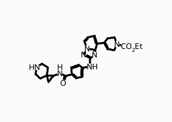 CCOC(=O)N1CC=C(c2cccn3nc(Nc4ccc(C(=O)NC5CC56CCNCC6)cc4)nc23)CC1